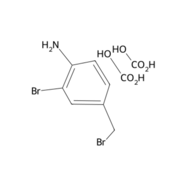 Nc1ccc(CBr)cc1Br.O=C(O)O.O=C(O)O